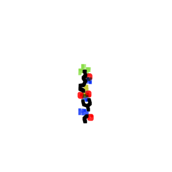 C=CC(=O)NCC1CCN(S(=O)(=O)c2ccc(-c3cc(C(F)(F)F)on3)s2)CC1